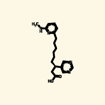 CNc1cccc(CCCCCC[C@H](CC(=O)O)c2cncnc2)n1